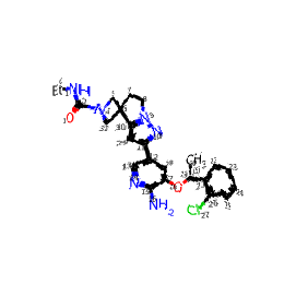 CCNC(=O)N1CC2(CCn3nc(-c4cnc(N)c(O[C@@H](C)c5ccccc5Cl)c4)cc32)C1